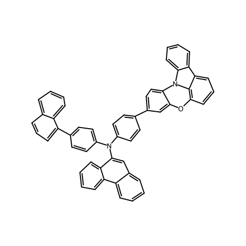 c1ccc2c(-c3ccc(N(c4ccc(-c5ccc6c(c5)Oc5cccc7c8ccccc8n-6c57)cc4)c4cc5ccccc5c5ccccc45)cc3)cccc2c1